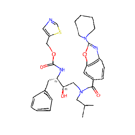 CC(C)CN(C[C@@H](O)[C@H](Cc1ccccc1)NC(=O)OCc1cncs1)C(=O)c1ccc2nc(N3CCCCC3)oc2c1